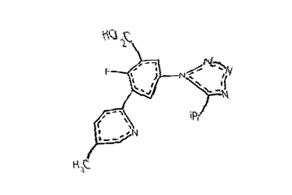 Cc1ccc(-c2cc(-n3nnnc3C(C)C)cc(C(=O)O)c2F)nc1